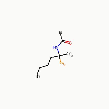 CCC(=O)NC(C)(P)CCCC(C)C